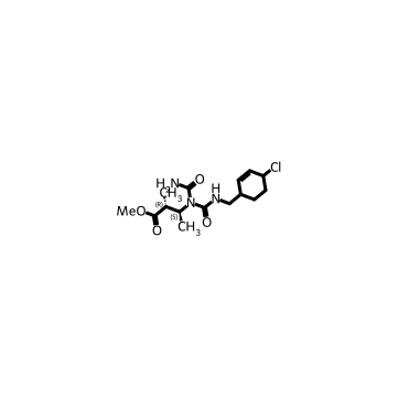 COC(=O)[C@H](C)[C@H](C)N(C(N)=O)C(=O)NCC1C=CC(Cl)CC1